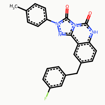 Cc1ccc(-n2nc3c4cc(Cc5cccc(F)c5)ccc4[nH]c(=O)n3c2=O)cc1